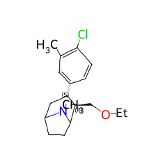 CCOC[C@H]1C2CCC(C[C@@H]1c1ccc(Cl)c(C)c1)N2C